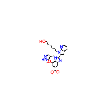 COC(=O)c1cc(OC)c2c(c1)nc(-c1cc3cccnc3n1CCCCCCO)n2Cc1cn[nH]c1